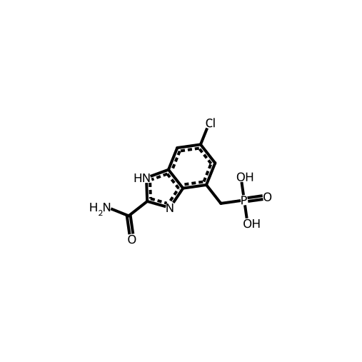 NC(=O)c1nc2c(CP(=O)(O)O)cc(Cl)cc2[nH]1